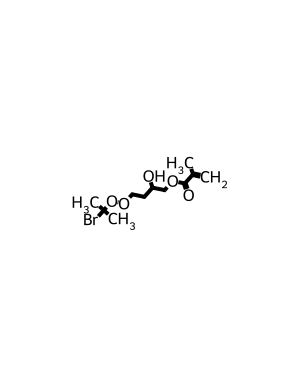 C=C(C)C(=O)OCC(O)CCOOC(C)(C)Br